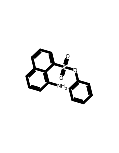 Nc1cccc2cccc(S(=O)(=O)Oc3ccccc3)c12